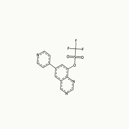 O=S(=O)(Oc1cc(-c2ccncc2)cc2cncnc12)C(F)(F)F